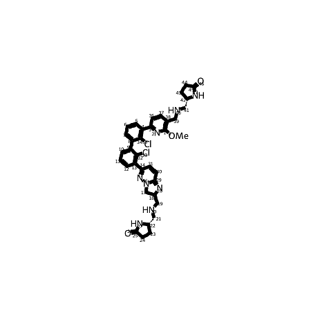 COc1nc(-c2cccc(-c3cccc(C4=NN5CC(CNC[C@@H]6CCC(=O)N6)N=C5C=C4)c3Cl)c2Cl)ccc1CNC[C@@H]1CCC(=O)N1